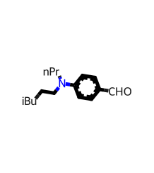 CCCN(CCC(C)CC)c1ccc(C=O)cc1